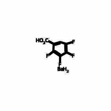 O=C(O)c1cc(F)c(F)c(F)c1F.[BaH2]